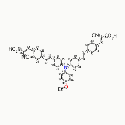 [C-]#[N+]/C(=C\c1ccc(/C=C/c2ccc(N(c3ccc(/C=C/c4ccc(/C=C(\[N+]#[C-])C(=O)O)cc4)cc3)c3ccc(OCC)cc3)cc2)cc1)C(=O)O